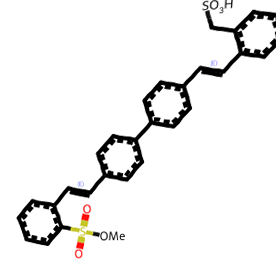 COS(=O)(=O)c1ccccc1/C=C/c1ccc(-c2ccc(/C=C/c3ccccc3CS(=O)(=O)O)cc2)cc1